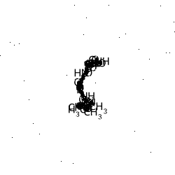 Cc1sc2c(c1C)C(c1ccc(Cl)cc1)=N[C@H](CC(=O)NCCCN1CCN(C(=O)CCCCCNC(=O)COc3cccc4c3C(=O)N(C3CCC(=O)NC3=O)C4=O)CC1)c1nnc(C)n1-2